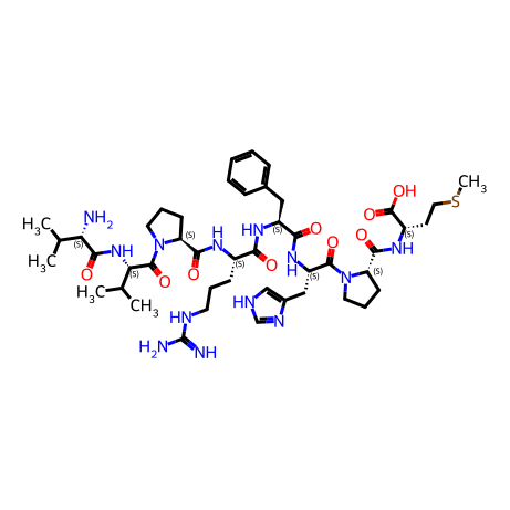 CSCC[C@H](NC(=O)[C@@H]1CCCN1C(=O)[C@H](Cc1c[nH]cn1)NC(=O)[C@H](Cc1ccccc1)NC(=O)[C@H](CCCNC(=N)N)NC(=O)[C@@H]1CCCN1C(=O)[C@@H](NC(=O)[C@@H](N)C(C)C)C(C)C)C(=O)O